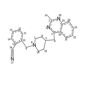 Cc1nc(CC2CCN(Cc3ccccc3C#N)CC2)c2ccccc2n1